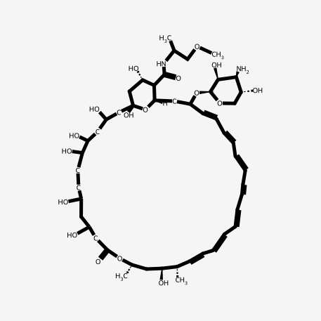 COCC(C)NC(=O)C1[C@@H]2CC(O[C@@H]3OC[C@@H](O)[C@H](N)[C@@H]3O)/C=C/C=C/C=C/C=C/C=C/C=C/C=C/[C@H](C)[C@@H](O)C[C@H](C)OC(=O)CC(O)CC(O)CCC(O)C(O)CC(O)CC(O)(C[C@@H]1O)O2